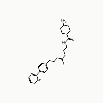 CCN(CCCNC(=O)C1CCC(N)CC1)CCCc1ccc(C2=NC=CCN2)cc1